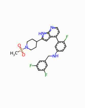 CS(=O)(=O)N1CCC(c2cc3c(-c4cc(NCc5cc(F)cc(F)c5)ccc4F)ccnc3[nH]2)CC1